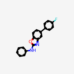 Fc1ccc(-c2ccc3oc(Nc4ccccc4)nc3c2)cc1